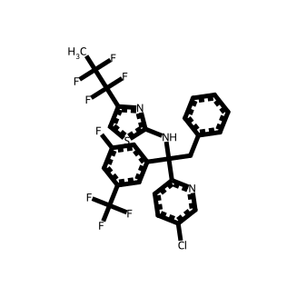 CC(F)(F)C(F)(F)c1csc(NC(Cc2ccccc2)(c2cc(F)cc(C(F)(F)F)c2)c2ccc(Cl)cn2)n1